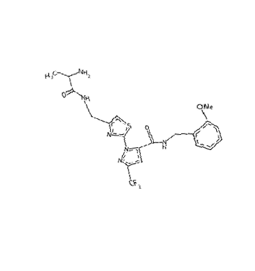 COc1ccccc1CNC(=O)c1cc(C(F)(F)F)nn1-c1nc(CNC(=O)C(C)N)cs1